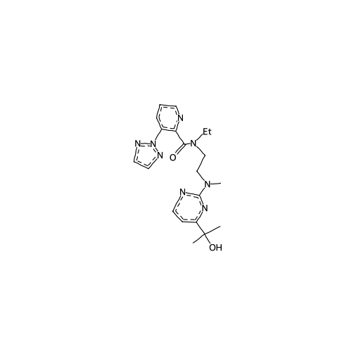 CCN(CCN(C)c1nccc(C(C)(C)O)n1)C(=O)c1ncccc1-n1nccn1